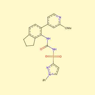 COc1cc(-c2ccc3c(c2NC(=O)NS(=O)(=O)c2ccn(C(C)C)n2)CCC3)ccn1